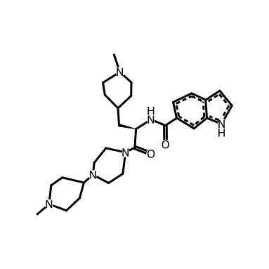 CN1CCC(C[C@@H](NC(=O)c2ccc3cc[nH]c3c2)C(=O)N2CCN(C3CCN(C)CC3)CC2)CC1